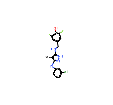 N#Cc1c(Nc2cccc(Cl)c2)n[nH]c1NCc1cc(F)c(O)c(F)c1